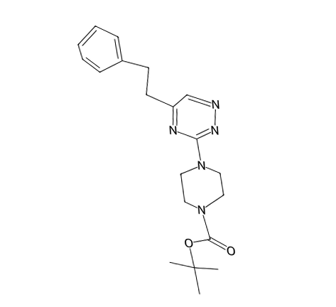 CC(C)(C)OC(=O)N1CCN(c2nncc(CCc3ccccc3)n2)CC1